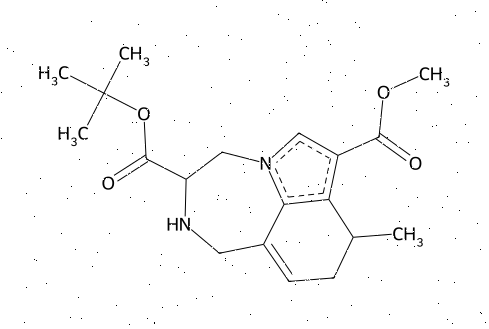 COC(=O)c1cn2c3c1C(C)CC=C3CNC(C(=O)OC(C)(C)C)C2